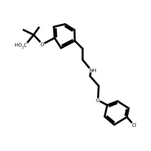 CC(C)(Oc1cccc(CCNCCOc2ccc(Cl)cc2)c1)C(=O)O